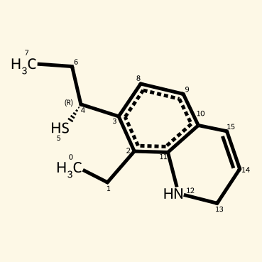 CCc1c([C@H](S)CC)ccc2c1NCC=C2